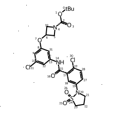 CC(C)(C)OC(=O)N1CC(Oc2cc(Cl)cc(NC(=O)c3cc(N4CCCS4(=O)=O)ccc3Cl)c2)C1